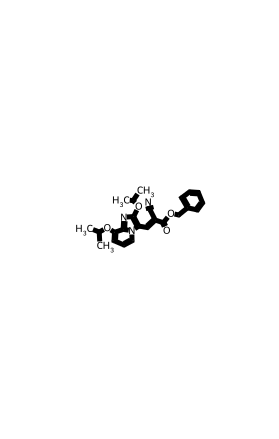 CC(C)Oc1nc2c(OC(C)C)cccn2c1C=C(C#N)C(=O)OCc1ccccc1